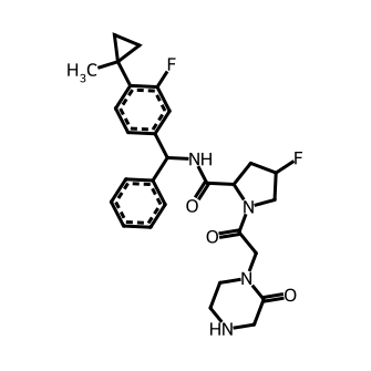 CC1(c2ccc(C(NC(=O)C3CC(F)CN3C(=O)CN3CCNCC3=O)c3ccccc3)cc2F)CC1